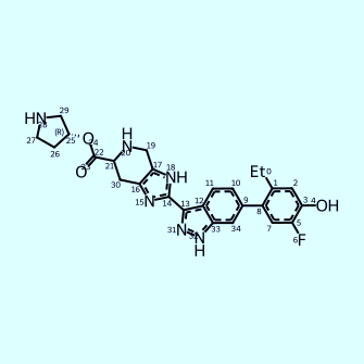 CCc1cc(O)c(F)cc1-c1ccc2c(-c3nc4c([nH]3)CNC(C(=O)O[C@@H]3CCNC3)C4)n[nH]c2c1